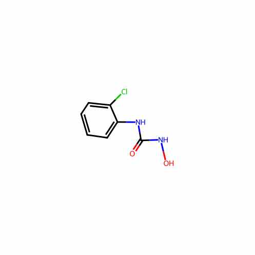 O=C(NO)Nc1ccccc1Cl